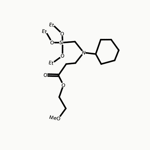 CCO[Si](CN(CCC(=O)OCCOC)C1CCCCC1)(OCC)OCC